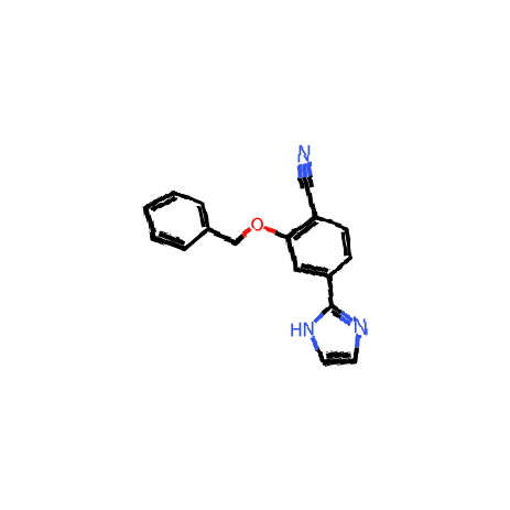 N#Cc1ccc(-c2ncc[nH]2)cc1OCc1ccccc1